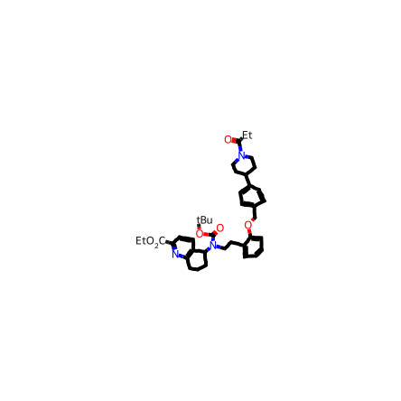 CCOC(=O)c1ccc2c(n1)CCCC2N(CCc1ccccc1OCc1ccc(C2CCN(C(=O)CC)CC2)cc1)C(=O)OC(C)(C)C